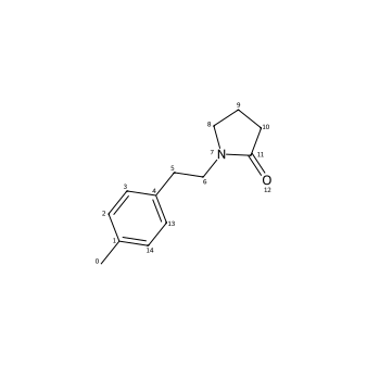 Cc1ccc(CCN2CCCC2=O)cc1